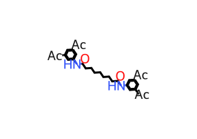 CC(=O)c1cc(NC(=O)CCCCCCCC(=O)Nc2cc(C(C)=O)cc(C(C)=O)c2)cc(C(C)=O)c1